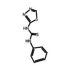 S=C(Nc1ccccc1)Nc1nncs1